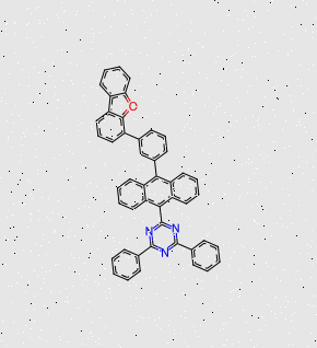 c1ccc(-c2nc(-c3ccccc3)nc(-c3c4ccccc4c(-c4cccc(-c5cccc6c5oc5ccccc56)c4)c4ccccc34)n2)cc1